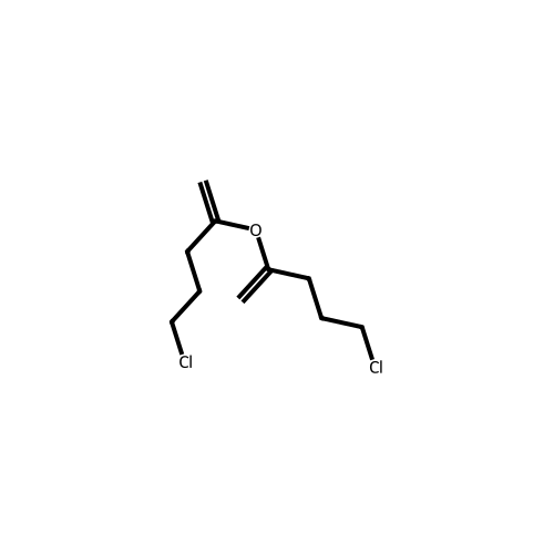 C=C(CCCCl)OC(=C)CCCCl